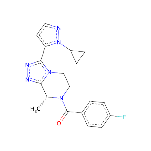 C[C@@H]1c2nnc(-c3ccnn3C3CC3)n2CCN1C(=O)c1ccc(F)cc1